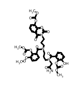 COOc1cccc(C(=O)N(CCCN(CC(N)=O)C(=O)c2cccc(O)c2OC(=O)OC)CCCn2c(=O)oc3c(OC(=O)OC)cccc3c2=O)c1OC(=O)OC